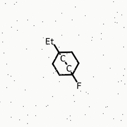 CCC12CCC(F)(CC1)CC2